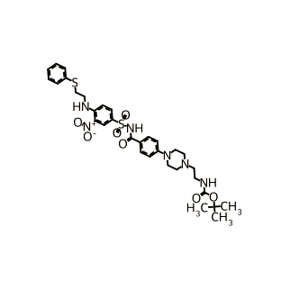 CC(C)(C)OC(=O)NCCN1CCN(c2ccc(C(=O)NS(=O)(=O)c3ccc(NCCSc4ccccc4)c([N+](=O)[O-])c3)cc2)CC1